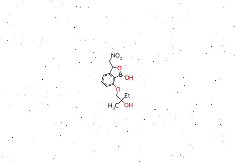 CCC(C)(O)COc1cccc2c1B(O)OC2C[N+](=O)[O-]